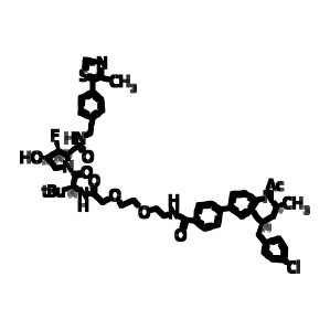 CC(=O)N1c2ccc(-c3ccc(C(=O)NCCOCCOCC(=O)N[C@H](C(=O)N4C[C@H](O)[C@@H](F)[C@H]4C(=O)NCc4ccc(-c5scnc5C)cc4)C(C)(C)C)cc3)cc2[C@H](Cc2ccc(Cl)cc2)C[C@@H]1C